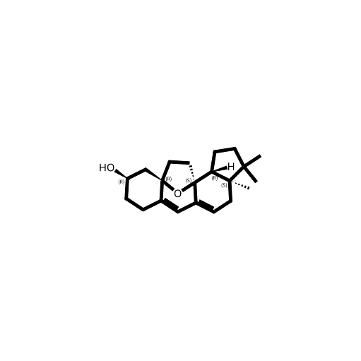 CC1(C)CC[C@@H]2[C@]1(C)CC=C1C=C3CC[C@@H](O)C[C@]34CC[C@@]12O4